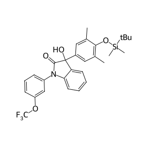 Cc1cc(C2(O)C(=O)N(c3cccc(OC(F)(F)F)c3)c3ccccc32)cc(C)c1O[Si](C)(C)C(C)(C)C